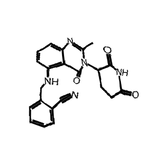 Cc1nc2cccc(NCc3ccccc3C#N)c2c(=O)n1C1CCC(=O)NC1=O